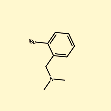 CCC(C)c1ccccc1CN(C)C